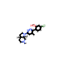 Cc1cc(N2CC[C@H]3CCN(C)C[C@H]32)nnc1-c1ccc(Cl)cc1O